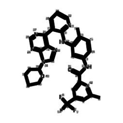 Cc1cc(C(F)(F)F)cc(C(=O)Nc2ccc(C)c(Nc3ncccc3-c3ncnc4c3ncn4C3CCCCO3)c2)n1